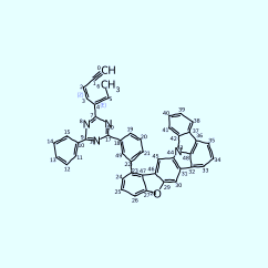 C#C/C=C\C(=C/C)c1nc(-c2ccccc2)nc(-c2cccc(-c3cccc4oc5cc6c7cccc8c9ccccc9n(c6cc5c34)c87)c2)n1